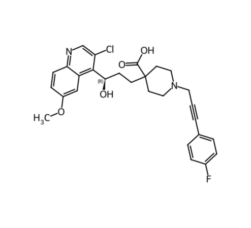 COc1ccc2ncc(Cl)c([C@H](O)CCC3(C(=O)O)CCN(CC#Cc4ccc(F)cc4)CC3)c2c1